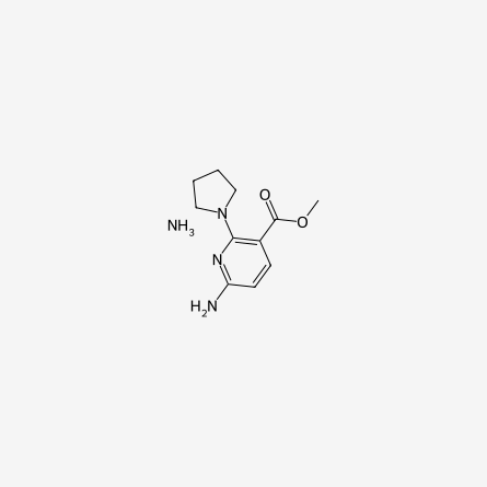 COC(=O)c1ccc(N)nc1N1CCCC1.N